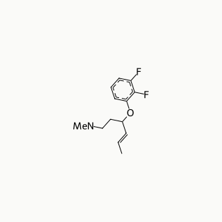 CC=CC(CCNC)Oc1cccc(F)c1F